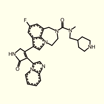 CN(CC1CCNCC1)C(=O)N1CCn2cc(C3=C(c4cnc5ccccn45)C(=O)NC3)c3cc(F)cc(c32)C1